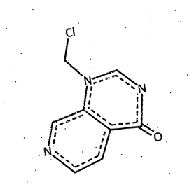 O=c1ncn(CCl)c2cnccc12